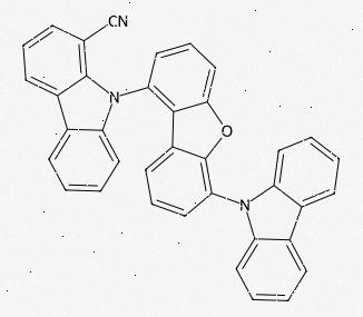 N#Cc1cccc2c3ccccc3n(-c3cccc4oc5c(-n6c7ccccc7c7ccccc76)cccc5c34)c12